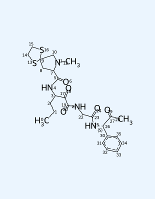 CCCC(NC(=O)C1CC2(CN1C)SCCS2)C(=O)C(=O)NCC(=O)N[C@H](C(C)=O)c1ccccc1